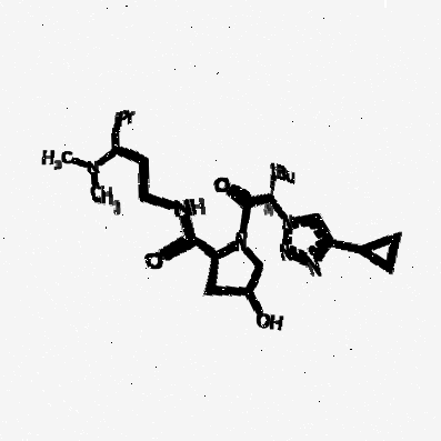 CC(C)C(CCNC(=O)C1CC(O)CN1C(=O)[C@@H](n1cc(C2CC2)nn1)C(C)(C)C)N(C)C